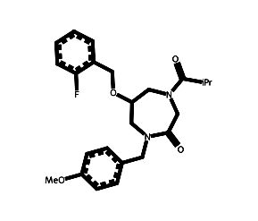 COc1ccc(CN2CC(OCc3ccccc3F)CN(C(=O)C(C)C)CC2=O)cc1